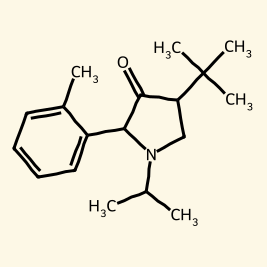 Cc1ccccc1C1C(=O)C(C(C)(C)C)CN1C(C)C